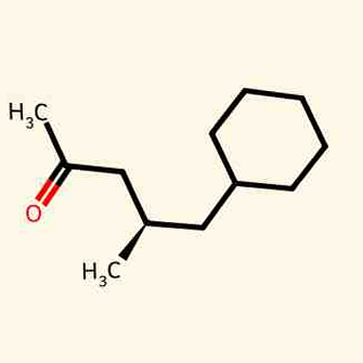 CC(=O)C[C@H](C)CC1CCCCC1